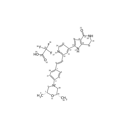 C[C@@H]1CN(c2ccc(/C=C/c3cc(-c4cc5c([nH]4)CCNC5=O)ccn3)cc2)C[C@H](C)O1.O=C(O)C(F)(F)F